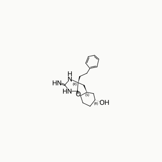 N=C1NC(=O)[C@@](CCc2ccccc2)(C[C@@H]2CCC[C@@H](O)C2)N1